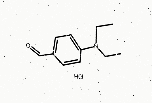 CCN(CC)c1ccc(C=O)cc1.Cl